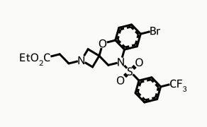 CCOC(=O)CCN1CC2(C1)CN(S(=O)(=O)c1cccc(C(F)(F)F)c1)c1cc(Br)ccc1O2